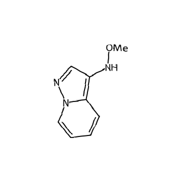 CONc1cnn2ccccc12